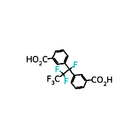 O=C(O)c1cccc(C(F)(c2cccc(C(=O)O)c2)C(F)(F)C(F)(F)F)c1